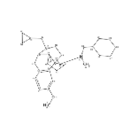 COc1ccc2c(c1)C13CCN(CC4CC4)C(C2)C12CCC(N(C)CC1CCCCC1)C3CC2